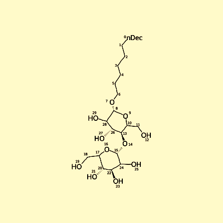 CCCCCCCCCCCCCCCCO[C@@H]1OC(CO)[C@@H](O[C@H]2OC(CO)[C@@H](O)[C@H](O)C2O)[C@H](O)C1O